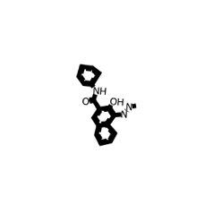 CN=Nc1c(O)c(C(=O)Nc2ccccc2)cc2ccccc12